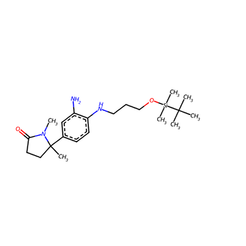 CN1C(=O)CCC1(C)c1ccc(NCCCO[Si](C)(C)C(C)(C)C)c(N)c1